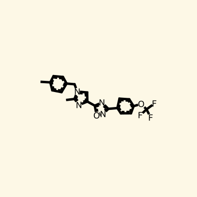 Cc1ccc(Cn2cc(-c3nc(-c4ccc(OC(F)(F)F)cc4)no3)nc2C)cc1